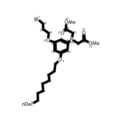 CCCCCCCCCCCCCCCCCCOc1cc(OCCCBr)cc(N(CC(=O)OC)CC(=O)OC)c1